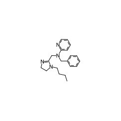 CCCCN1CCN=C1CN(Cc1ccccc1)c1ccccn1